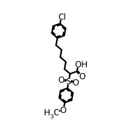 COc1ccc(S(=O)(=O)C(CCCCCc2ccc(Cl)cc2)C(=O)O)cc1